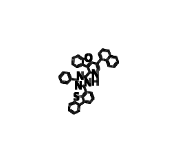 C1=C(c2cccc3ccccc23)c2oc3ccccc3c2C(c2nc(-c3ccccc3)nc(-c3cccc4c3sc3ccccc34)n2)N1